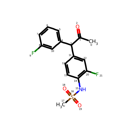 CC(=O)C(c1cccc(F)c1)c1ccc(NS(C)(=O)=O)c(F)c1